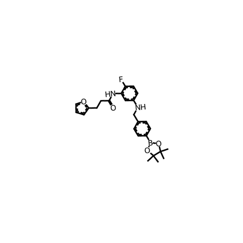 CC1(C)OB(c2ccc(CNc3ccc(F)c(NC(=O)CCc4ccco4)c3)cc2)OC1(C)C